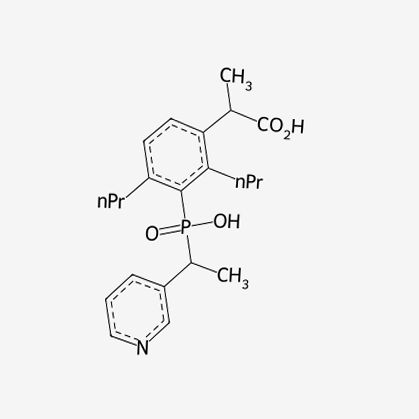 CCCc1ccc(C(C)C(=O)O)c(CCC)c1P(=O)(O)C(C)c1cccnc1